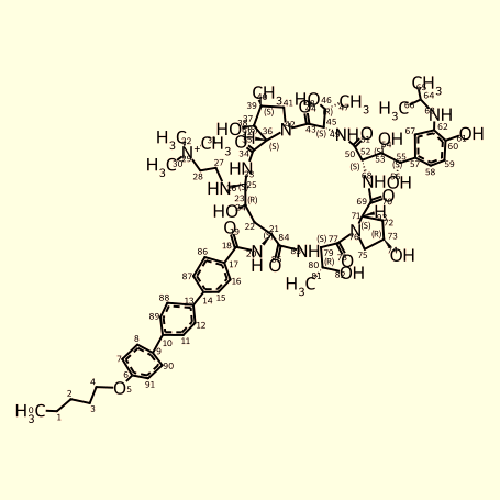 CCCCCOc1ccc(-c2ccc(-c3ccc(C(=O)N[C@H]4C[C@@H](O)[C@@H](NCC[N+](C)(C)C)NC(=O)[C@@H]5[C@@H](O)[C@@H](C)CN5C(=O)[C@H]([C@@H](C)O)NC(=O)[C@H]([C@H](O)[C@@H](O)c5ccc(O)c(NC(C)C)c5)NC(=O)[C@@H]5C[C@@H](O)CN5C(=O)[C@H]([C@@H](C)O)NC4=O)cc3)cc2)cc1